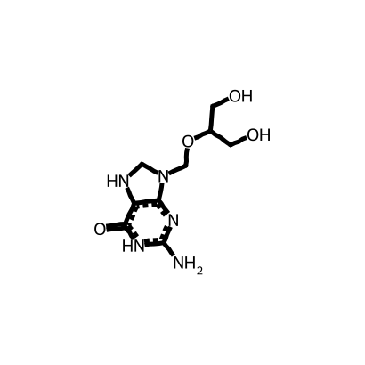 Nc1nc2c(c(=O)[nH]1)NCN2COC(CO)CO